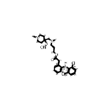 CN1CCC(CN(C)CCCOC(=O)Cc2ccccc2Nc2c(Cl)cccc2Cl)(SN=O)CC1